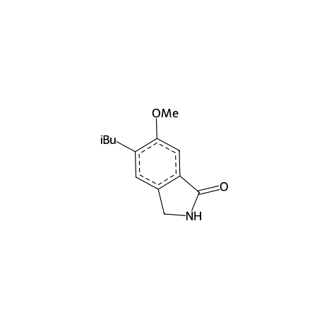 CCC(C)c1cc2c(cc1OC)C(=O)NC2